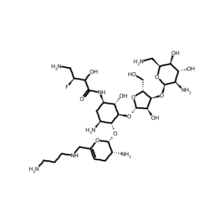 NCCCNCC1=CC[C@@H](N)[C@@H](O[C@H]2[C@H](O[C@@H]3O[C@H](CO)[C@@H](O[C@H]4O[C@@H](CN)[C@@H](O)[C@H](O)[C@H]4N)[C@H]3O)[C@@H](O)[C@H](NC(=O)C(O)[C@@H](F)CN)C[C@@H]2N)O1